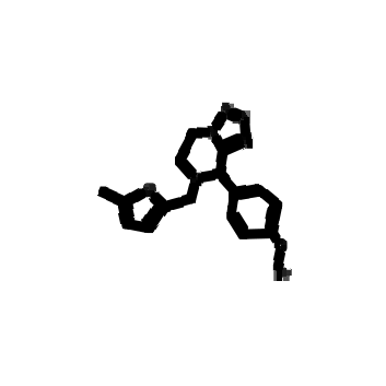 Cc1ccc(CN2CCn3nnnc3C2c2ccc(OC(C)C)cc2)o1